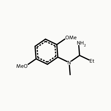 CCC(N)N(C)c1cc(OC)ccc1OC